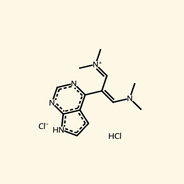 CN(C)/C=C(\C=[N+](C)C)c1ncnc2[nH]ccc12.Cl.[Cl-]